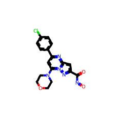 O=NC(=O)c1cc2nc(-c3ccc(Cl)cc3)cc(N3CCOCC3)n2n1